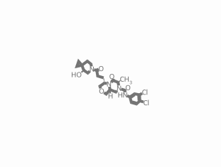 C[C@H]1C(=O)N2[C@@H](CCC(=O)N3CCC4(CC4)[C@H](O)C3)COC[C@H]2CN1C(=O)Nc1ccc(Cl)c(Cl)c1